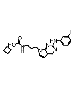 C1CCC1.O=C(O)NCCCn1ccc2cnc(Nc3cccc(F)c3)nc21